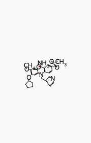 COc1ccc(N(Cc2cccnc2)c2ccc(S(C)(=O)=O)cc2C(N)=O)cc1OC1CCCC1